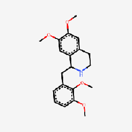 COc1cc2c(cc1OC)C(Cc1cccc(OC)c1OC)NCC2